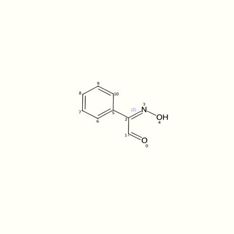 O=[C]/C(=N\O)c1ccccc1